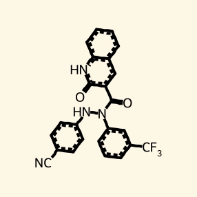 N#Cc1ccc(NN(C(=O)c2cc3ccccc3[nH]c2=O)c2cccc(C(F)(F)F)c2)cc1